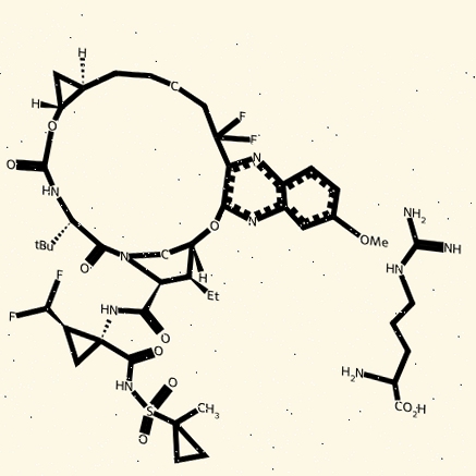 CC[C@@H]1[C@@H]2CN(C(=O)[C@H](C(C)(C)C)NC(=O)O[C@@H]3C[C@H]3CCCCC(F)(F)c3nc4ccc(OC)cc4nc3O2)[C@@H]1C(=O)N[C@]1(C(=O)NS(=O)(=O)C2(C)CC2)C[C@H]1C(F)F.N=C(N)NCCCC(N)C(=O)O